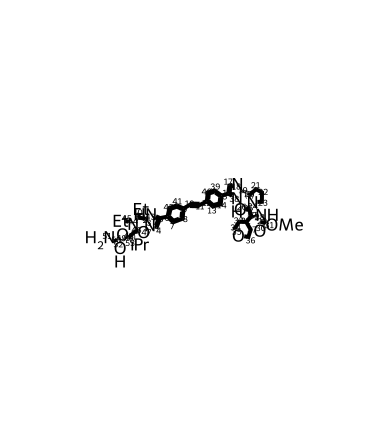 CC[C@@H](c1ncc(-c2ccc(C#Cc3ccc(-c4cnc([C@@H]5CCCN5C(=O)[C@@H](NC(=O)OC)C5CCOCC5)[nH]4)cc3)cc2)[nH]1)N(CC)C(=O)[C@@H](OC(N)O)C(C)C